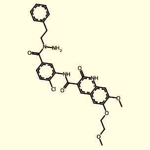 COCCOc1cc2cc(C(=O)Nc3cc(C(=O)N(N)CCc4ccccc4)ccc3Cl)c(=O)[nH]c2cc1OC